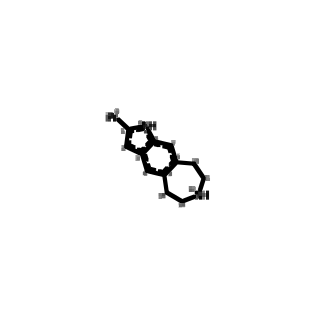 CC(C)c1cc2cc3c(cc2[nH]1)CCNCC3